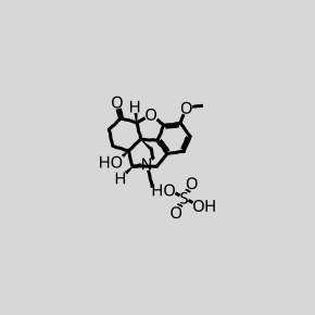 COc1ccc2c3c1O[C@H]1C(=O)CC[C@@]4(O)[C@@H](C2)N(C)CC[C@]314.O=S(=O)(O)O